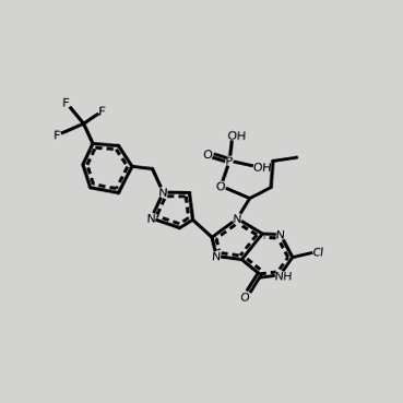 CCCC(OP(=O)(O)O)n1c(-c2cnn(Cc3cccc(C(F)(F)F)c3)c2)nc2c(=O)[nH]c(Cl)nc21